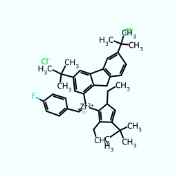 CCC1=[C](/[Zr+2](=[CH]/c2ccc(F)cc2)[c]2cc(C(C)(C)C)cc3c2Cc2ccc(C(C)(C)C)cc2-3)C(CC)C=C1C(C)(C)C.[Cl-].[Cl-]